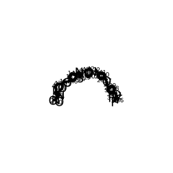 O=[N+]([O-])c1cn2c(n1)OC(COc1ccc3nc(N4CCN(Cc5ccc(OCc6ccc(OC(F)(F)F)cc6)cc5)CC4)sc3c1)CC2